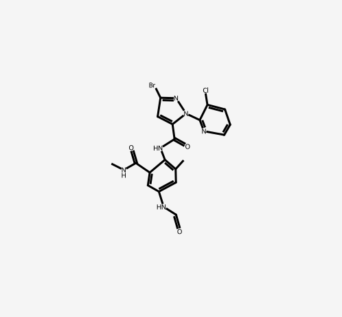 CNC(=O)c1cc(NC=O)cc(C)c1NC(=O)c1cc(Br)nn1-c1ncccc1Cl